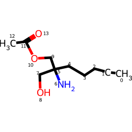 CCCCCC(N)(CO)COC(C)=O